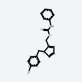 O=C(Nc1ccccc1)OCC1=CC=CC1Cc1ccc(Cl)cc1